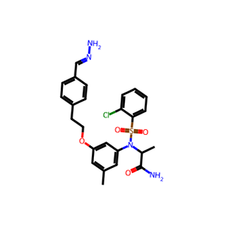 Cc1cc(OCCc2ccc(C=NN)cc2)cc(N(C(C)C(N)=O)S(=O)(=O)c2ccccc2Cl)c1